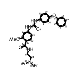 COc1cc(NC(=O)Nc2ccc(Oc3ccccc3)cc2)ccc1C(=O)NCCN(C(C)C)C(C)C